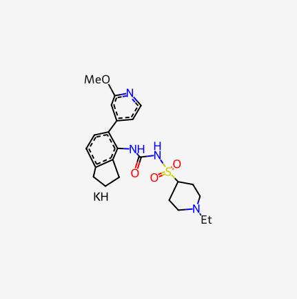 CCN1CCC(S(=O)(=O)NC(=O)Nc2c(-c3ccnc(OC)c3)ccc3c2CCC3)CC1.[KH]